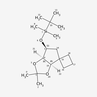 CC1(C)O[C@H]2[C@@H](O[Si](C)(C)C(C)(C)C)CC3(CCC3)[C@H]2O1